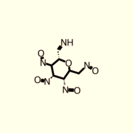 N=C[C@@H]1OC(CN=O)[C@H](N=O)[C@H](N=O)C1N=O